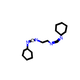 C(=NCCN=C=NC1CCCCC1)=NC1CCCCC1